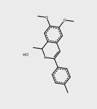 COc1cc2c(cc1OC)C(C)[N]C(c1ccc(C)cc1)=C2.Cl